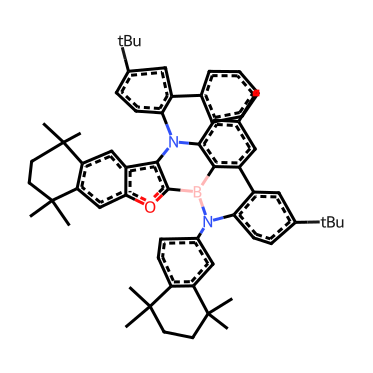 Cc1cc2c3c(c1)N(c1ccc(C(C)(C)C)cc1-c1ccccc1)c1c(oc4cc5c(cc14)C(C)(C)CCC5(C)C)B3N(c1ccc3c(c1)C(C)(C)CCC3(C)C)c1ccc(C(C)(C)C)cc1-2